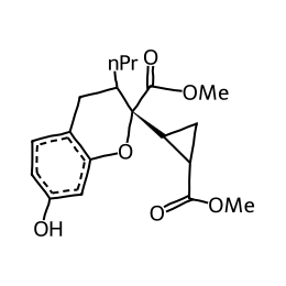 CCCC1Cc2ccc(O)cc2O[C@]1(C(=O)OC)C1CC1C(=O)OC